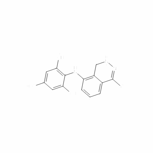 Cc1cc(C)c(Nc2cccc3c2CNN=C3C(C)C)c(C)c1